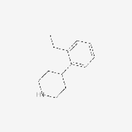 CCc1ccccc1C1CCNCC1